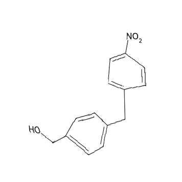 O=[N+]([O-])c1ccc(Cc2ccc(CO)cc2)cc1